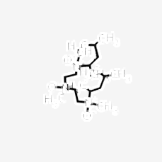 CC(C)CC(C)[N+](C)([O-])CC[N+](C)([O-])CC[N+](C)([O-])C(C)CC(C)C